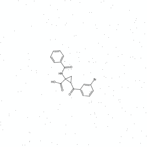 O=C(NC1(C(=O)O)CC1C(=O)c1cccc(Br)c1)c1ccccc1